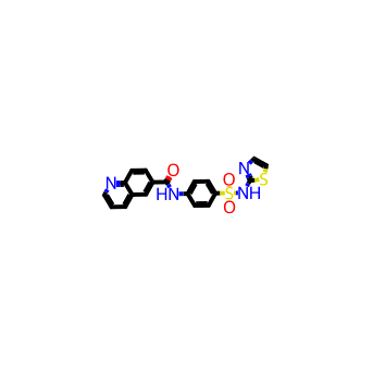 O=C(Nc1ccc(S(=O)(=O)Nc2nccs2)cc1)c1ccc2ncccc2c1